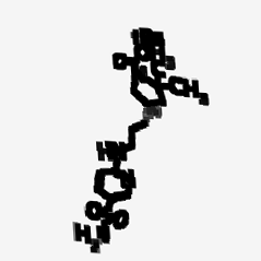 CC(C)(C)OC(=O)N1C[C@@H](CCCNc2ccc(S(N)(=O)=O)cn2)CC1(C)C